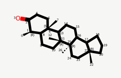 C[C@H]1C(=O)CC[C@@]2(C)C1CC[C@]1(C)C2CCC2C3CCC[C@]3(C)CC[C@]21C